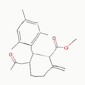 C=C1CCC(C(C)=O)C(c2c(C)cc(C)cc2C)C1C(=O)OC